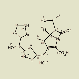 C[C@@H](O)[C@H]1C(=O)N2C(C(=O)O)=C(S[C@@H]3CN[C@H]([C@H](O)[C@@H]4CCNC4)C3)[C@H](C)[C@H]12.Cl